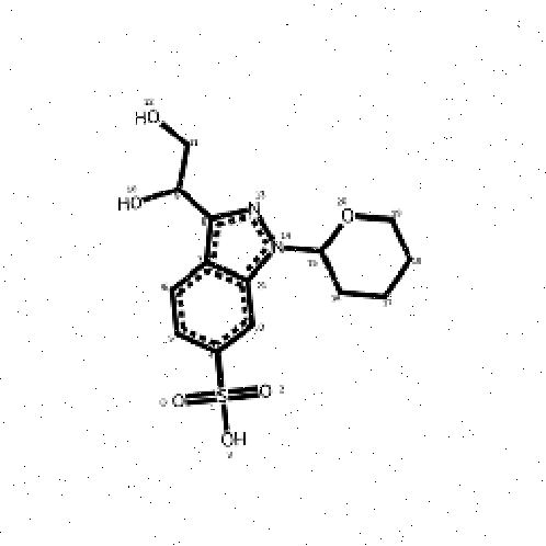 O=S(=O)(O)c1ccc2c(C(O)CO)nn(C3CCCCO3)c2c1